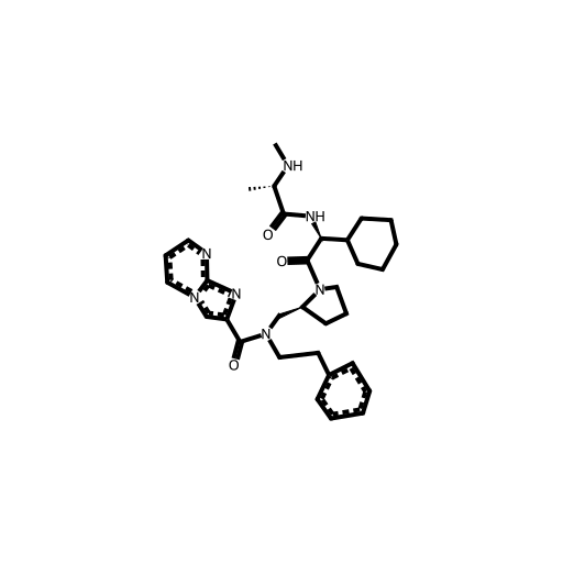 CN[C@@H](C)C(=O)N[C@H](C(=O)N1CCC[C@H]1CN(CCc1ccccc1)C(=O)c1cn2cccnc2n1)C1CCCCC1